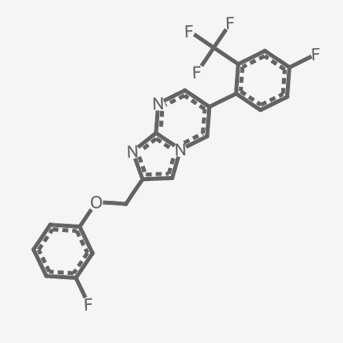 Fc1cccc(OCc2cn3cc(-c4ccc(F)cc4C(F)(F)F)cnc3n2)c1